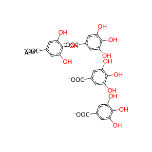 O=C([O-])c1cc(O)c(O)c(O)c1.O=C([O-])c1cc(O)c(O)c(O)c1.O=C([O-])c1cc(O)c(O)c(O)c1.O=C([O-])c1cc(O)c(O)c(O)c1.[Al+3].[Li+]